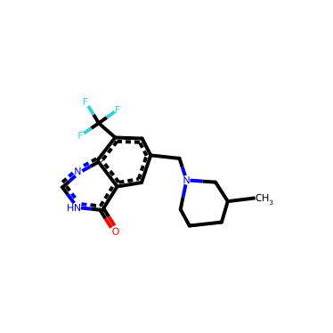 CC1CCCN(Cc2cc(C(F)(F)F)c3nc[nH]c(=O)c3c2)C1